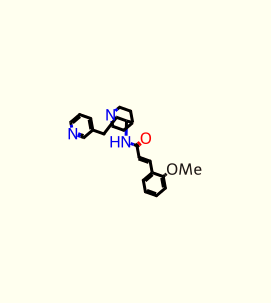 COc1ccccc1/C=C/C(=O)NC1C2CCN(CC2)C1Cc1cccnc1